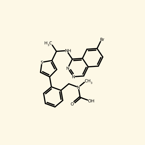 CC(Nc1nncc2ccc(Br)cc12)c1cc(-c2ccccc2CN(C)C(=O)O)cs1